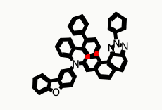 c1ccc(-c2ccccc2-c2ccccc2N(c2ccc3c(ccc4ccc5nn(-c6ccccc6)nc5c43)c2)c2ccc3oc4ccccc4c3c2)cc1